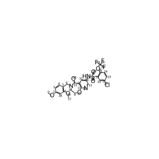 COc1ccc(CN2CCOc3ncc(NS(=O)(=O)c4cc(Cl)ccc4OC(F)(F)F)cc3C2=O)c(OC)c1